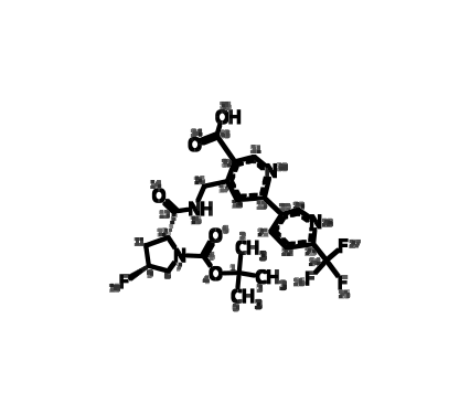 CC(C)(C)OC(=O)N1C[C@@H](F)C[C@@H]1C(=O)NCc1cc(-c2ccc(C(F)(F)F)nc2)ncc1C(=O)O